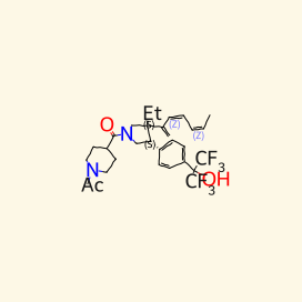 C=C(/C=C\C=C/C)[C@@]1(CC)CN(C(=O)C2CCN(C(C)=O)CC2)C[C@H]1c1ccc(C(O)(C(F)(F)F)C(F)(F)F)cc1